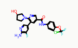 Nc1ncc(-c2cc(C(=O)Nc3ccc(OC(F)(F)Cl)cc3)cnc2N2CC[C@@H](O)C2)cc1F